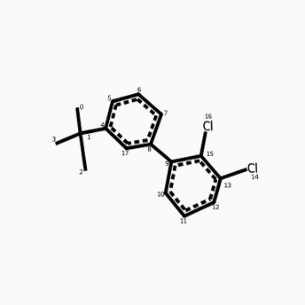 CC(C)(C)c1cccc(-c2cccc(Cl)c2Cl)c1